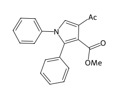 COC(=O)c1c(C(C)=O)cn(-c2ccccc2)c1-c1ccccc1